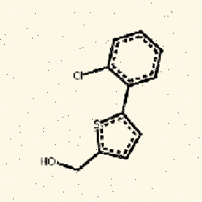 OCc1ccc(-c2ccccc2Cl)s1